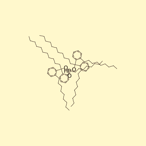 CCCCCCCCCCCC(O[PH](=O)OC(CCCCCCCCCCC)(c1ccccc1CCCCCCCCC)c1ccccc1CCCCCCCCC)(c1ccccc1CCCCCCCCC)c1ccccc1CCCCCCCCC